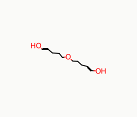 OC=CCCCOCCCC=CO